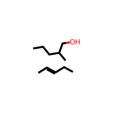 C/C=C/CC.CCCC(C)CO